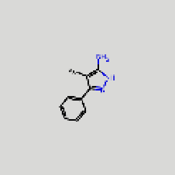 CC(=O)c1c(-c2ccccc2)n[nH]c1N